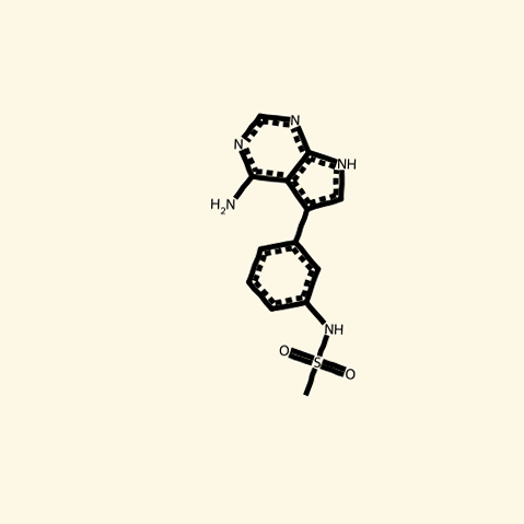 CS(=O)(=O)Nc1cccc(-c2c[nH]c3ncnc(N)c23)c1